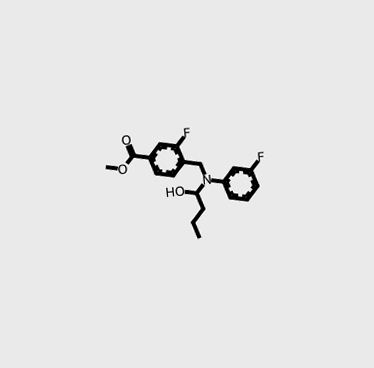 CCCC(O)N(Cc1ccc(C(=O)OC)cc1F)c1cccc(F)c1